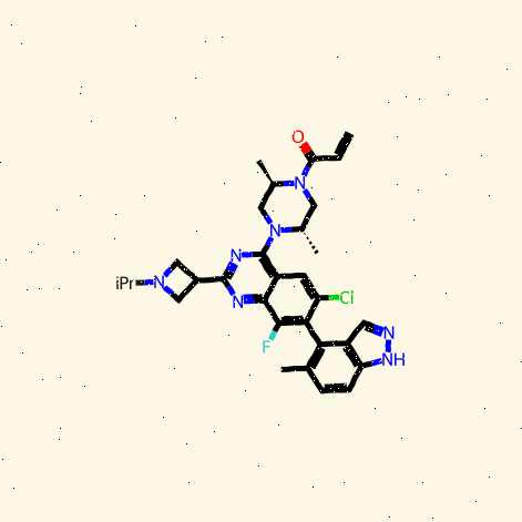 C=CC(=O)N1C[C@H](C)N(c2nc(C3CN(C(C)C)C3)nc3c(F)c(-c4c(C)ccc5[nH]ncc45)c(Cl)cc23)C[C@H]1C